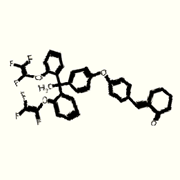 CC(c1ccc(Oc2ccc(/C=C3\CCCCC3=O)cc2)cc1)(c1ccccc1OC(F)=C(F)F)c1ccccc1OC(F)=C(F)F